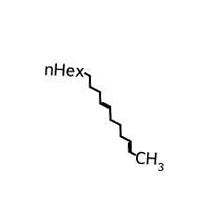 [CH2]CCCCCCCCC=CCCCC=CC